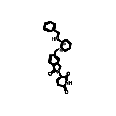 O=C1CCC(N2Cc3cc(C[C@H]4CCCC[C@@H]4NCc4ccccc4)ccc3C2=O)C(=O)N1